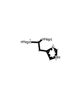 CCCCCCCC(CCCCCCC)Cc1c[nH]cn1